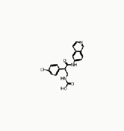 O=C(O)NCC(C(=O)Nc1ccc2cnccc2c1)c1ccc(Cl)cc1